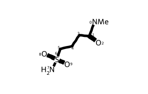 CNC(=O)CCCS(N)(=O)=O